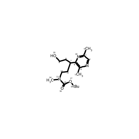 Cc1cnc(C)c(C(CCO)CCN(C)C(=O)OC(C)(C)C)n1